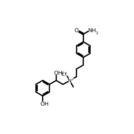 CC[N+](C)(CCCc1ccc(C(N)=O)cc1)CC(O)c1cccc(O)c1